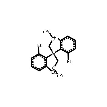 CCCOC[Si](COCCC)(c1c(CC)cccc1CC)c1c(CC)cccc1CC